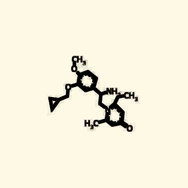 CCc1cc(=O)cc(C)n1CC(N)c1ccc(OC)c(OCC2CC2)c1